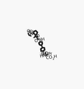 Cc1c(C(=O)Nc2ccc(-c3ccc(S(=O)(=O)N[C@H](C(=O)O)C(C)C)cc3)cc2)oc2cccc(N3CCCS3(=O)=O)c12